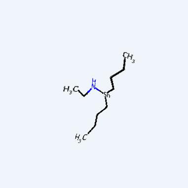 CCC[CH2][Sn]([CH2]CCC)[NH]CC